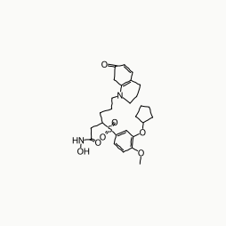 COc1ccc(S(=O)(=O)C(CCCN2CCCC3=C2CC(=O)C=C3)CC(=O)NO)cc1OC1CCCC1